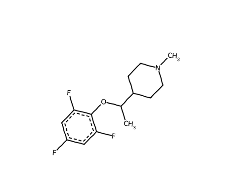 CC(Oc1c(F)cc(F)cc1F)C1CCN(C)CC1